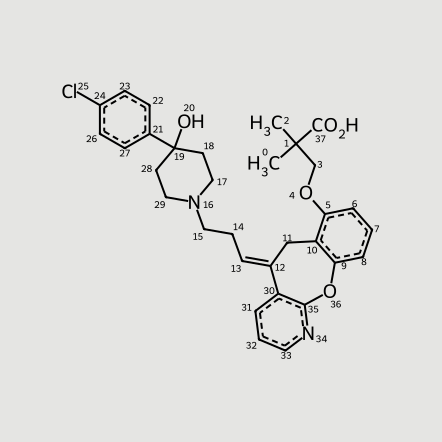 CC(C)(COc1cccc2c1CC(=CCCN1CCC(O)(c3ccc(Cl)cc3)CC1)c1cccnc1O2)C(=O)O